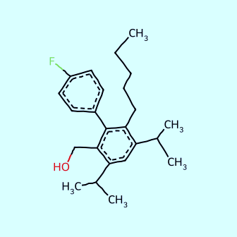 CCCCCc1c(C(C)C)cc(C(C)C)c(CO)c1-c1ccc(F)cc1